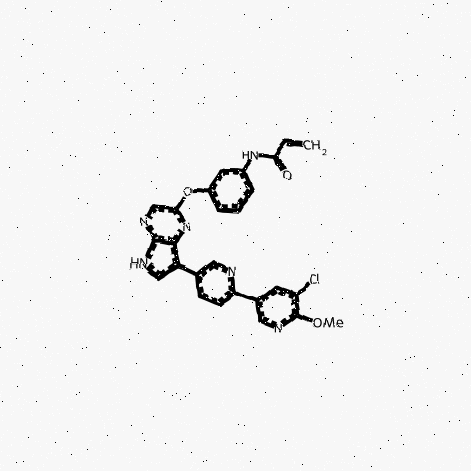 C=CC(=O)Nc1cccc(Oc2cnc3[nH]cc(-c4ccc(-c5cnc(OC)c(Cl)c5)nc4)c3n2)c1